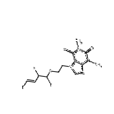 Cn1c(=O)c2c(ncn2CCSC(F)C(F)C=CF)n(C)c1=O